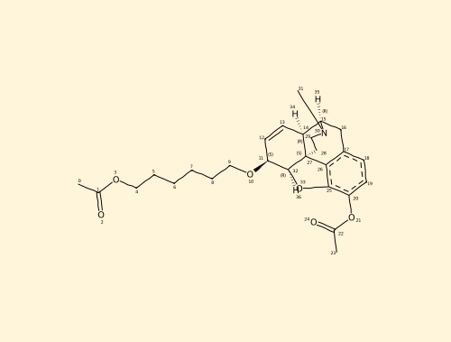 CC(=O)OCCCCCCO[C@H]1C=C[C@H]2[C@H]3Cc4ccc(OC(C)=O)c5c4[C@@]2(CCN3C)[C@H]1O5